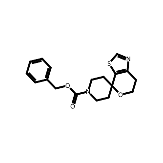 O=C(OCc1ccccc1)N1CCC2(CC1)OCCc1ncsc12